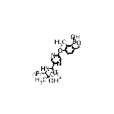 CCC[C@@H](NC(=O)c1cnc(Oc2ccc3c(c2C)B(O)OC3)cn1)C(C)(C)O